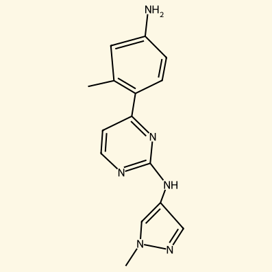 Cc1cc(N)ccc1-c1ccnc(Nc2cnn(C)c2)n1